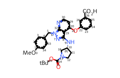 COc1ccc(Cn2nc(N[C@@H]3CCN(C(=O)OC(C)(C)C)C3)c3c(Oc4cccc(C(=O)O)c4)ccnc32)cc1